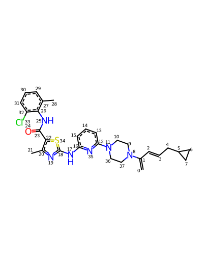 C=C(/C=C/CC1CC1)N1CCN(c2cccc(Nc3nc(C)c(C(=O)Nc4c(C)cccc4Cl)s3)n2)CC1